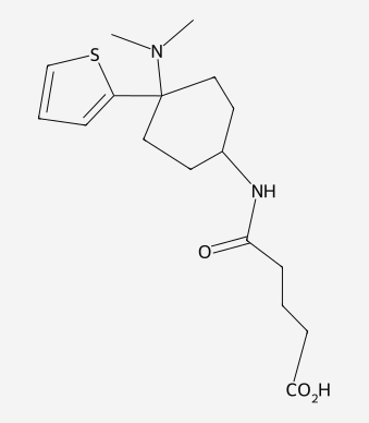 CN(C)C1(c2cccs2)CCC(NC(=O)CCCC(=O)O)CC1